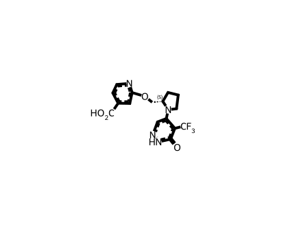 O=C(O)c1ccnc(OC[C@@H]2CCCN2c2cn[nH]c(=O)c2C(F)(F)F)c1